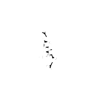 CN(CC(=O)OCC1CO1)C(=O)N(C)C(=O)N(C=O)CC(=O)OCC1CO1